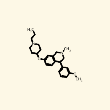 CCCN1CCC(Oc2ccc3c(c2)CN(C)CC3c2cccc(OC)c2)CC1